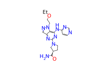 CCOCCn1ncc2nc(N3CC[C@@H](C(N)=O)C3)nc(Nc3ccncn3)c21